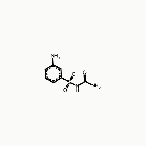 NC(=O)NS(=O)(=O)c1cccc(N)c1